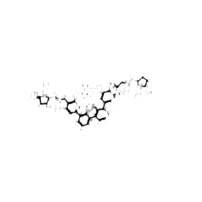 COc1nc(-c2cccc(-c3ccnc(-c4cc(OC)c5nc(CNC[C@@H]6CCC(=O)N6)nn5c4)c3Cl)c2Cl)ccc1CNC[C@@H]1CCC(=O)N1